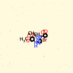 COc1cc(Nc2nccc(Nc3c(Br)ccc4c3OCO4)n2)cc(OC)c1OC